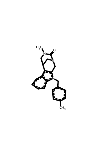 Cc1ccc(Cn2c3c(c4ccccc42)C2CN(C)C(=O)N(C3)C2)cc1